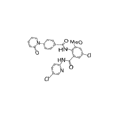 COc1cc(Cl)cc(C(=O)Nc2ccc(Cl)cn2)c1NC(=O)c1ccc(-n2ccccc2=O)cc1